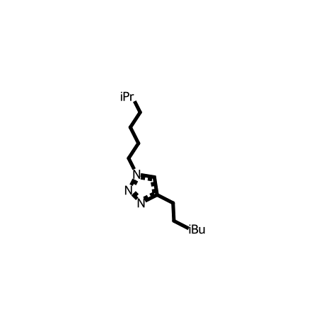 CCC(C)CCc1cn(CCCCC(C)C)nn1